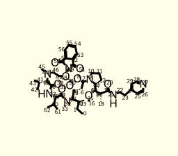 CC[C@H](C)[C@@H]([C@@H](CC(=O)N1CCC[C@H]1[C@H](OC)[C@@H](C)C(=O)NCCc1ccncc1)OC)N(C)C(=O)[C@@H](NC(=O)[C@H](C(C)C)N(C)CCON1C(=O)c2ccccc2C1=O)C(C)C